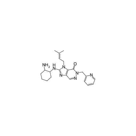 CC(C)=CCn1c(NC2CCCCC2N)nc2cnn(Cc3ccccn3)c(=O)c21